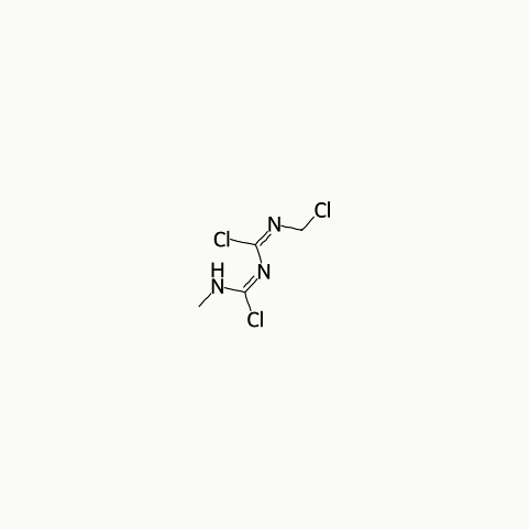 CN/C(Cl)=N\C(Cl)=N/CCl